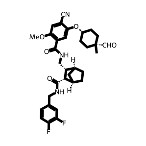 COc1cc(C#N)c(O[C@H]2CC[C@@](C)(C=O)CC2)cc1C(=O)NC[C@@H]1[C@H]2CC[C@H](C2)[C@@H]1C(=O)NCc1ccc(F)c(F)c1